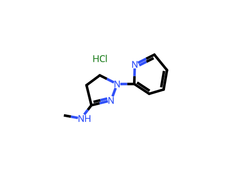 CNC1=NN(c2ccccn2)CC1.Cl